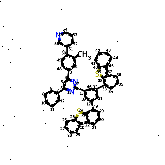 Cc1cc(-c2cc(-c3ccccc3)nc(-c3cc(-c4cccc5c4sc4ccccc45)cc(-c4cccc5c4sc4ccccc45)c3)n2)ccc1-c1cccnc1